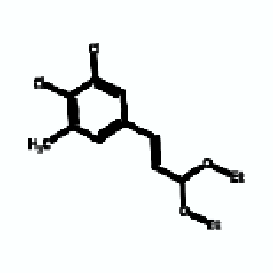 CCOC(/C=C/c1cc(C)c(Cl)c(Cl)c1)OCC